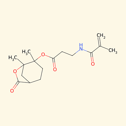 C=C(C)C(=O)NCCC(=O)OC1(C)CCC2CC1(C)OC2=O